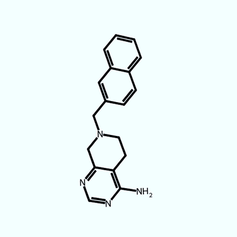 Nc1ncnc2c1CCN(Cc1ccc3ccccc3c1)C2